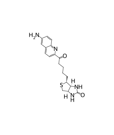 Nc1ccc2nc(C(=O)CCCC[C@@H]3SC[C@@H]4NC(=O)N[C@@H]43)ccc2c1